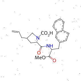 C=CCC1CC(C(=O)NC(Cc2ccc3ccccc3c2)C(=O)OC)N(C(=O)O)C1